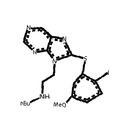 CCCCNCCn1c(Sc2cc(OC)ccc2I)nc2cncnc21